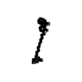 CCOP(=O)(CCCCCCCCCCCOc1ccc([C@]23CC4CC(C[C@H](C4)C2)C3)c(F)c1F)OCC